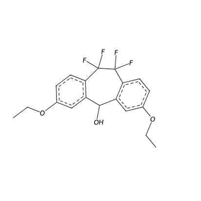 CCOc1ccc2c(c1)C(O)c1cc(OCC)ccc1C(F)(F)C2(F)F